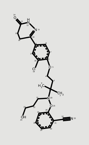 CC(C)(CCOc1ccc(C2=NNC(=O)CC2)cc1Cl)N(CCCO)Oc1ccccc1C#N